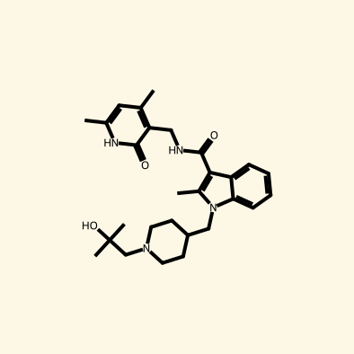 Cc1cc(C)c(CNC(=O)c2c(C)n(CC3CCN(CC(C)(C)O)CC3)c3ccccc23)c(=O)[nH]1